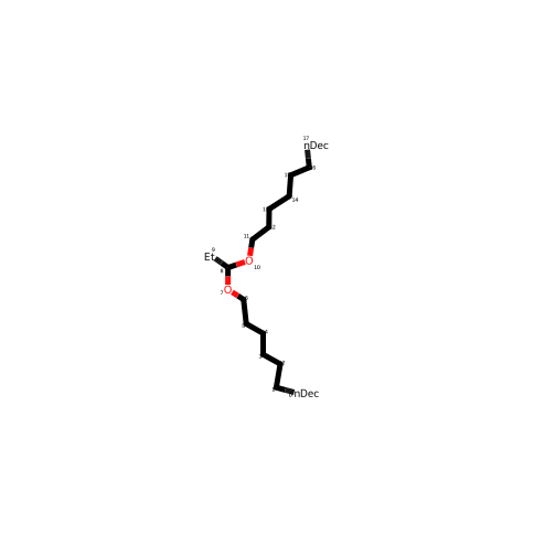 CCCCCCCCCCCCCCCCO[C](CC)OCCCCCCCCCCCCCCCC